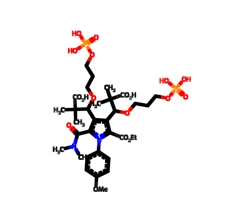 CCOC(=O)c1c(C(OCCCOP(=O)(O)O)C(C)(C)C(=O)O)c(C(OCCCOP(=O)(O)O)C(C)(C)C(=O)O)c(C(=O)N(C)C)n1-c1ccc(OC)cc1